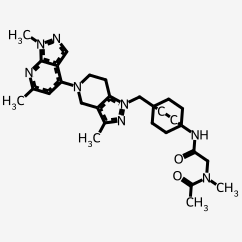 CC(=O)N(C)CC(=O)NC12CCC(Cn3nc(C)c4c3CCN(c3cc(C)nc5c3cnn5C)C4)(CC1)CC2